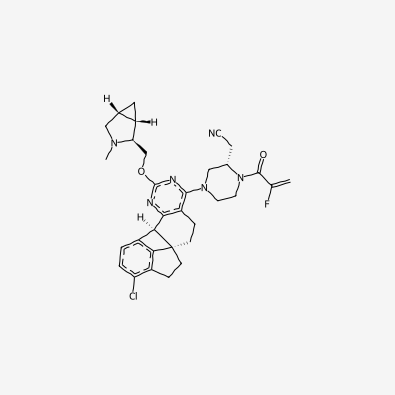 C=C(F)C(=O)N1CCN(c2nc(OC[C@@H]3[C@H]4C[C@H]4CN3C)nc3c2CC[C@]24CCc5c(Cl)ccc(c52)[C@@H]34)C[C@@H]1CC#N